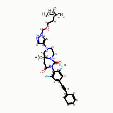 C[C@@]12CC(=O)N(c3c(F)cc(C#Cc4ccccc4)cc3F)C(=O)N1CCN(c1cnn(COCC[Si](C)(C)C)c1)C2